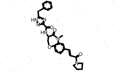 CN1C(=O)C(NC(=O)c2n[nH]c(Cc3ccccc3)n2)COc2ccc(/C=C/C(=O)N3CCCC3)cc21